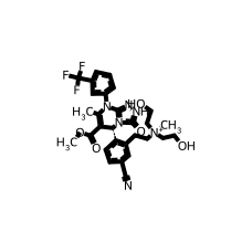 COC(=O)C1=C(C)N(c2cccc(C(F)(F)F)c2)c2n[nH]c(=O)n2[C@@H]1c1ccc(C#N)cc1CC[N+](C)(CCO)CCO